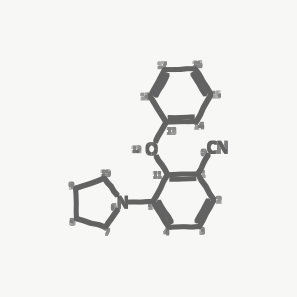 N#Cc1cccc(N2CCCC2)c1Oc1ccccc1